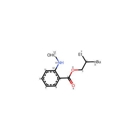 CCCCC(CC)COC(=O)c1ccccc1NC=O